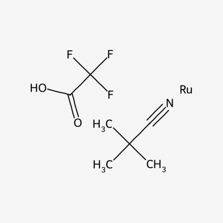 CC(C)(C)C#N.O=C(O)C(F)(F)F.[Ru]